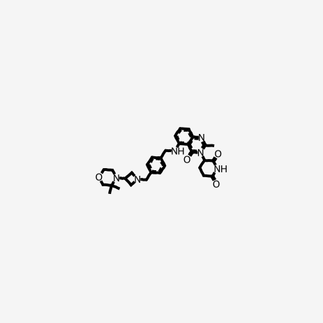 Cc1nc2cccc(NCc3ccc(CN4CC(N5CCOCC5(C)C)C4)cc3)c2c(=O)n1C1CCC(=O)NC1=O